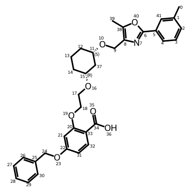 Cc1cccc(-c2nc(CO[C@H]3CCC[C@@H](OCCOc4cc(OCc5ccccc5)ccc4C(=O)O)C3)c(C)o2)c1